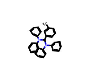 Cc1cccc(C(N(c2ccccc2)c2ccccc2)N(c2ccccc2)c2ccccc2)c1